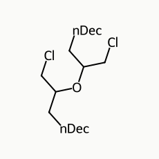 CCCCCCCCCCCC(CCl)OC(CCl)CCCCCCCCCCC